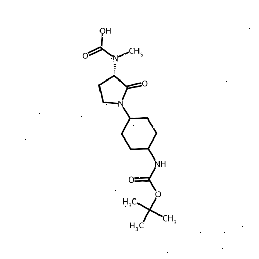 CN(C(=O)O)[C@H]1CCN(C2CCC(NC(=O)OC(C)(C)C)CC2)C1=O